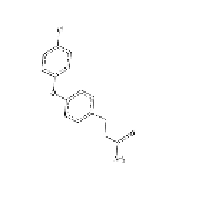 NC(=O)CCc1ccc(Oc2ccc(Cl)cc2)cc1